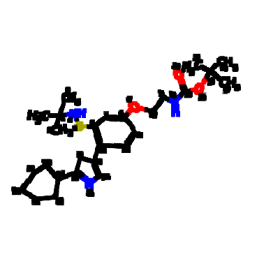 CC(C)(C)NSc1cc(OCCNC(=O)OC(C)(C)C)ccc1C1=CN=C(C2CCCCC2)C1